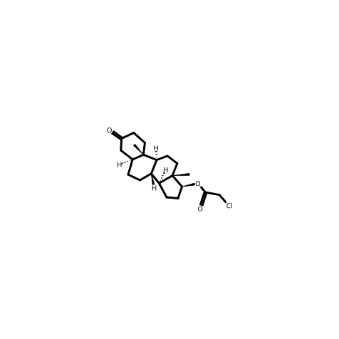 C[C@]12CCC(=O)C[C@@H]1CC[C@@H]1[C@@H]2CC[C@]2(C)[C@@H](OC(=O)CCl)CC[C@@H]12